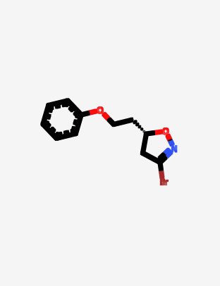 BrC1=NO[C@@H](CCOc2ccccc2)C1